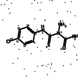 NC(=O)N(N)C(=S)Nc1ccc(Cl)cc1